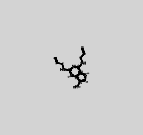 C=CCNc1nc(NCC=C)c2scc(CCC)c2n1